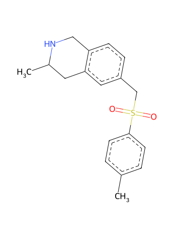 Cc1ccc(S(=O)(=O)Cc2ccc3c(c2)CC(C)NC3)cc1